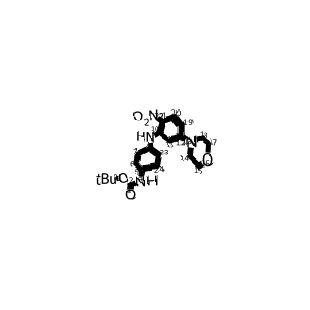 CC(C)(C)OC(=O)Nc1ccc(Nc2cc(N3CCOCC3)ccc2[N+](=O)[O-])cc1